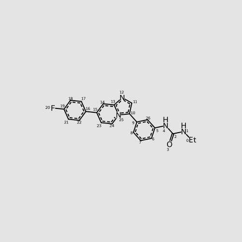 CCNC(=O)Nc1cccc(-c2cnc3cc(-c4ccc(F)cc4)ccn23)c1